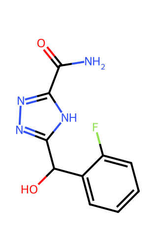 NC(=O)c1nnc(C(O)c2ccccc2F)[nH]1